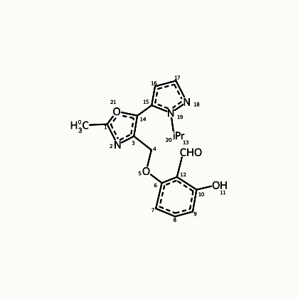 Cc1nc(COc2cccc(O)c2C=O)c(-c2ccnn2C(C)C)o1